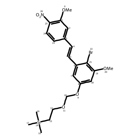 COc1cc(/C=C/c2cc(OCOCC[Si](C)(C)C)cc(OC)c2Br)ccc1[N+](=O)[O-]